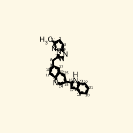 Cc1ccc2nnc(Cc3ccc4ncc(-c5cc6ccccc6[nH]5)cc4c3)n2n1